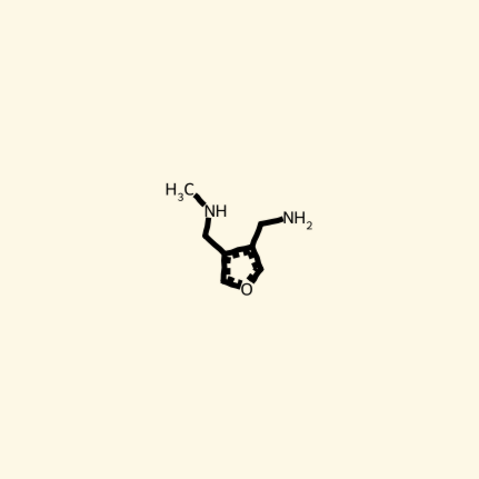 CNCc1cocc1CN